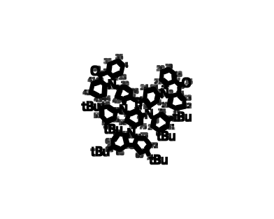 CC(C)(C)c1cc(N2c3cc(-n4c5ccccc5c(=O)c5ccccc54)ccc3B3c4ccc(-n5c6ccccc6c(=O)c6ccccc65)cc4N(c4cc(C(C)(C)C)cc(C(C)(C)C)c4)c4cc(-n5c6ccc(C(C)(C)C)cc6c6cc(C(C)(C)C)ccc65)cc2c43)cc(C(C)(C)C)c1